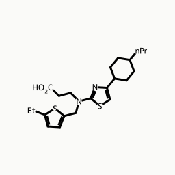 CCCC1CCC(c2csc(N(CCC(=O)O)Cc3ccc(CC)s3)n2)CC1